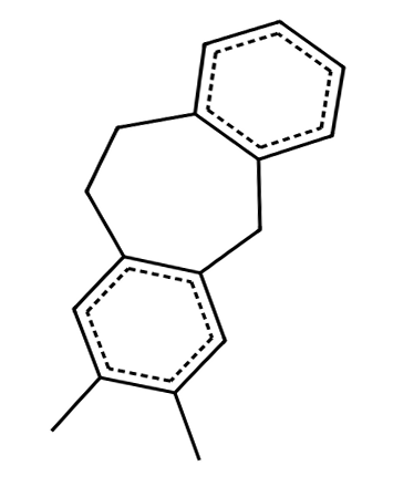 Cc1cc2c(cc1C)Cc1ccccc1CC2